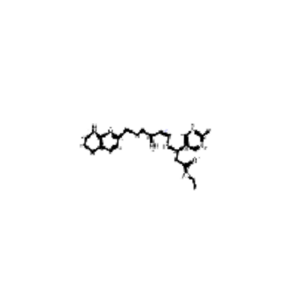 CCOC(=O)CC(N/C=C\C(=N)CCCc1ccc2c(n1)NCCC2)c1cnc(C)nc1